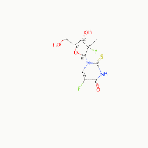 CC1(F)[C@@H](O)[C@@H](CO)O[C@H]1n1cc(F)c(=O)[nH]c1=S